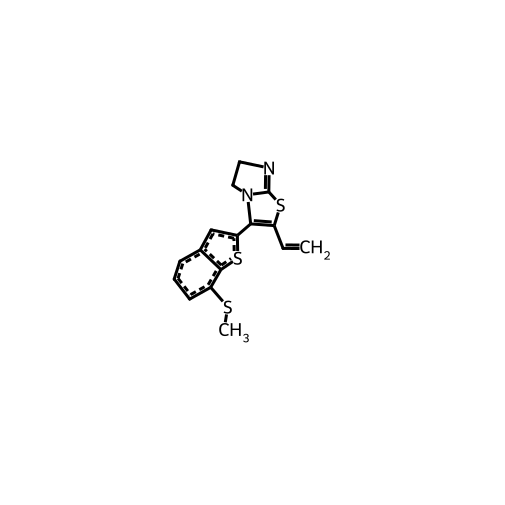 C=CC1=C(c2cc3cccc(SC)c3s2)N2CCN=C2S1